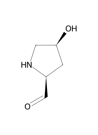 O=C[C@@H]1C[C@H](O)CN1